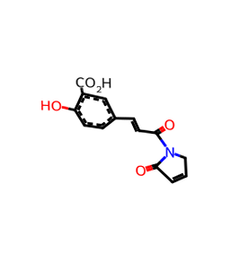 O=C(O)c1cc(C=CC(=O)N2CC=CC2=O)ccc1O